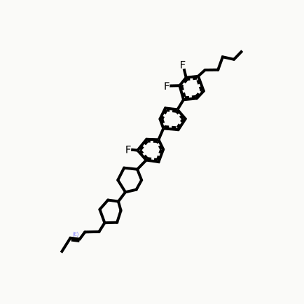 C/C=C/CCC1CCC(C2CCC(c3ccc(-c4ccc(-c5ccc(CCCCC)c(F)c5F)cc4)cc3F)CC2)CC1